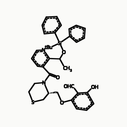 CC(O[Si](c1ccccc1)(c1ccccc1)C(C)(C)C)c1ncccc1C(=O)N1CCSC[C@H]1COc1cccc(O)c1C=O